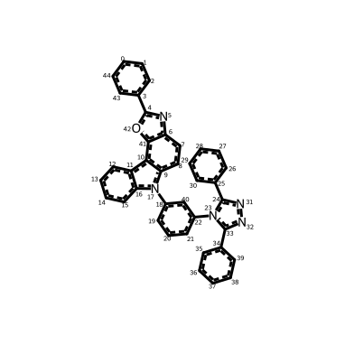 c1ccc(-c2nc3ccc4c(c5ccccc5n4-c4cccc(-n5c(-c6ccccc6)nnc5-c5ccccc5)c4)c3o2)cc1